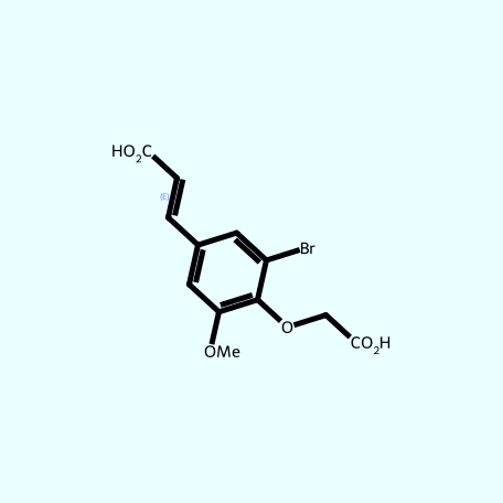 COc1cc(/C=C/C(=O)O)cc(Br)c1OCC(=O)O